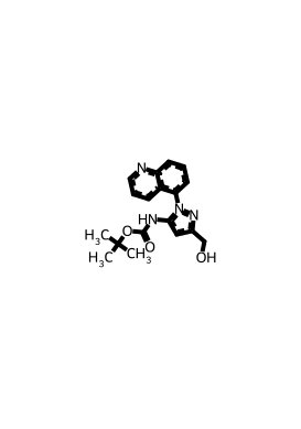 CC(C)(C)OC(=O)Nc1cc(CO)nn1-c1cccc2ncccc12